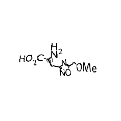 COCc1nc(C[C@H](N)C(=O)O)no1